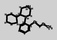 COCOc1ccccc1N1CCNCC1C1CCCCC1